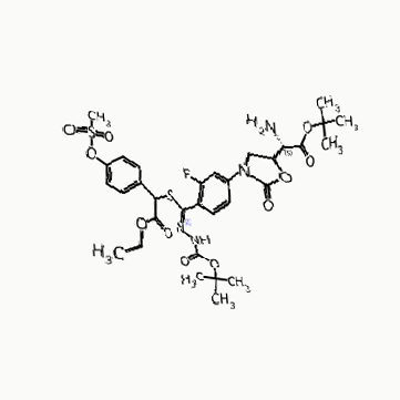 CCOC(=O)C(S/C(=N/NC(=O)OC(C)(C)C)c1ccc(N2CC([C@H](N)C(=O)OC(C)(C)C)OC2=O)cc1F)c1ccc(OS(C)(=O)=O)cc1